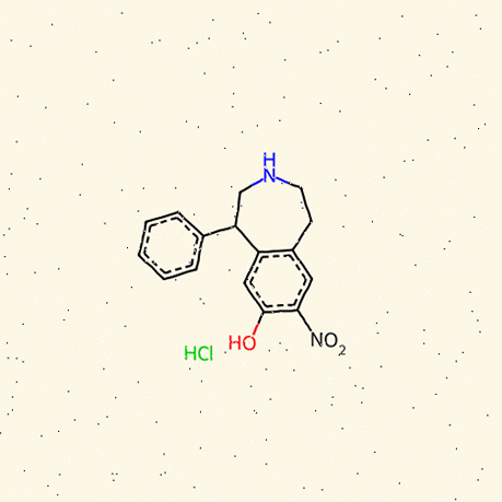 Cl.O=[N+]([O-])c1cc2c(cc1O)C(c1ccccc1)CNCC2